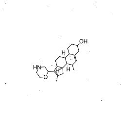 CC1=C(C2CNCCO2)[C@@]2(C)CC[C@@H]3[C@@H](C(C)C=C4CC(O)CC[C@@]43C)[C@@H]2C1